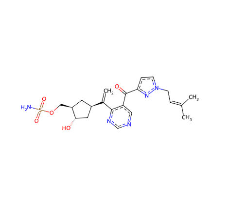 C=C(c1ncncc1C(=O)c1ccn(CC=C(C)C)n1)[C@@H]1C[C@H](COS(N)(=O)=O)[C@@H](O)C1